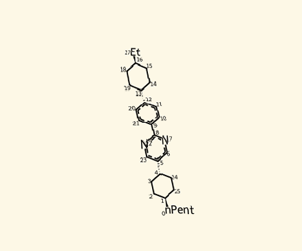 CCCCC[C@H]1CC[C@H](c2cnc(-c3ccc([C@H]4CC[C@H](CC)CC4)cc3)nc2)CC1